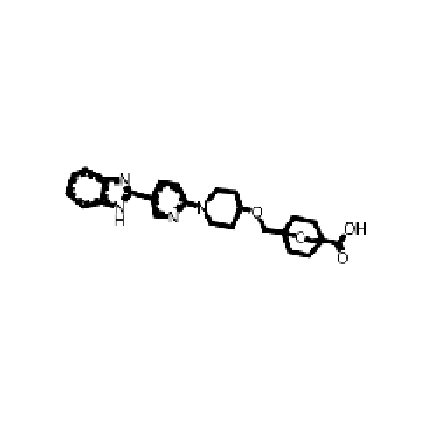 O=C(O)C12CCC(COC3CCN(c4ccc(-c5nc6ccccc6[nH]5)cn4)CC3)(CC1)CC2